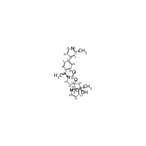 Cc1cc(-c2ccc([C@H](C)N3CCC(CC(C)(C)O)(c4ccccc4)OC3=O)cc2)ccn1